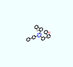 c1ccc(-c2ccc(-c3nc(-c4cccc(-c5cccc6oc7ccccc7c56)c4)nc(-c4cccc5c4sc4ccccc45)n3)cc2)cc1